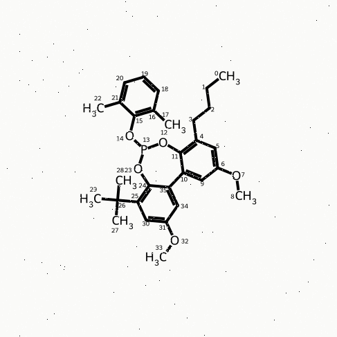 CCCCc1cc(OC)cc2c1op(Oc1c(C)cccc1C)oc1c(C(C)(C)C)cc(OC)cc12